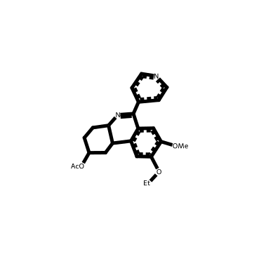 CCOc1cc2c(cc1OC)C(c1ccncc1)=NC1CCC(OC(C)=O)CC21